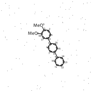 COc1ccc(-c2ccc(-c3cc[c]cc3)cc2)cc1OC